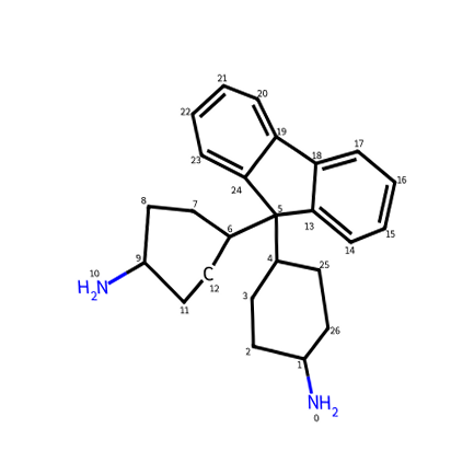 NC1CCC(C2(C3CCC(N)CC3)c3ccccc3-c3ccccc32)CC1